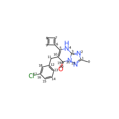 Cc1nc2[nH]c(C3=CC=C3)c(Cc3cccc(Cl)c3)c(=O)n2n1